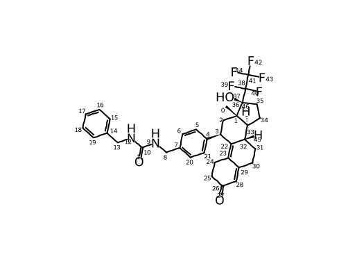 C[C@]12C[C@H](c3ccc(CNC(=O)NCc4ccccc4)cc3)C3=C4CCC(=O)C=C4CC[C@H]3[C@@H]1CC[C@@]2(O)C(F)(F)C(F)(F)F